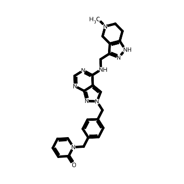 CN1CCc2[nH]nc(CNc3ncnc4nn(Cc5ccc(Cn6ccccc6=O)cc5)cc34)c2C1